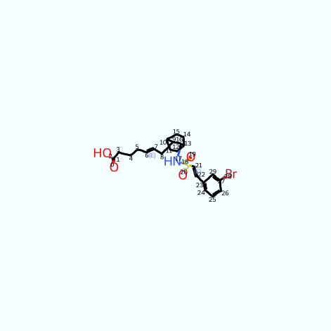 O=C(O)CCC/C=C/CC1C2CCC(CC2)C1NS(=O)(=O)/C=C/c1cccc(Br)c1